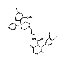 COc1cc(F)ccc1C1(c2ccccc2)CCN(CCCNC(=O)N2C(=O)COC(C)C2c2ccc(F)c(F)c2)CC1